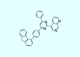 c1ccc(-c2cc(-c3ccc(-c4cccc5c4-c4ccccc4C5)cc3)nc(-c3cncc4ncccc34)n2)cc1